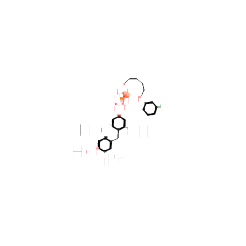 Cc1cc(OCP2(=O)OCCCCC[C@H](c3cccc(Cl)c3)O2)cc(C)c1Cc1ccc(O)c(C(C)C)c1